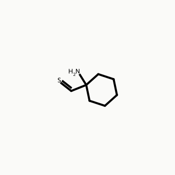 NC1(C=S)CCCCC1